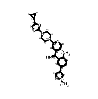 Cn1cc(-c2ccc(N)c(C(=N)c3ccnc(N4CCN(c5nnc(C6CC6)o5)CC4)c3)c2)cn1